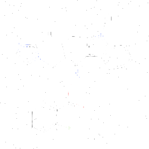 Cc1nccn1CC1CCc2c(c3ccccc3n2C)C1=NOC(=O)c1ccccc1F